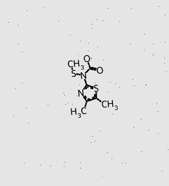 CSN(C([O])=O)c1nc(C)c(C)s1